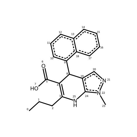 CCCC1=C(C(=O)O)C(c2cccc3ccccc23)c2cnn(C)c2N1